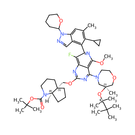 COc1nc(-c2c(C3CC3)c(C)cc3c2cnn3C2CCCCO2)c(F)c2nc(OC[C@]34CCC[C@H]3N(C(=O)OC(C)(C)C)CCC4)nc(N3CCOC[C@@](C)(O[Si](C)(C)C(C)(C)C)C3)c12